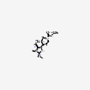 C/N=C1\SC(C2CCN(C(=O)OC(C)(C)C)CC2)/C(=C\C#N)N1C